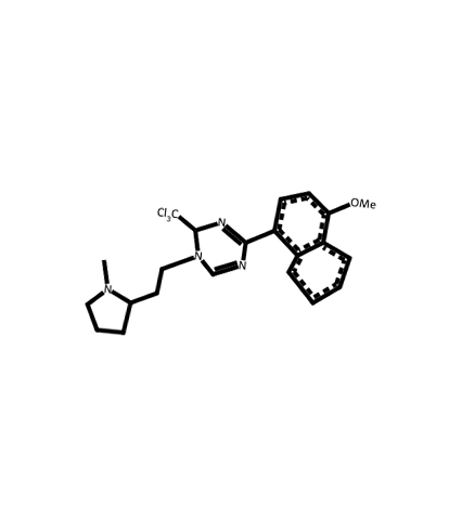 COc1ccc(C2=NC(C(Cl)(Cl)Cl)N(CCC3CCCN3C)C=N2)c2ccccc12